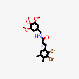 COc1cc(CNC(=O)/C=C/c2cc(C)c(C)c(Br)c2Br)cc(OC)c1OC